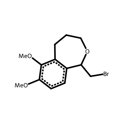 COc1ccc2c(c1OC)CCCOC2CBr